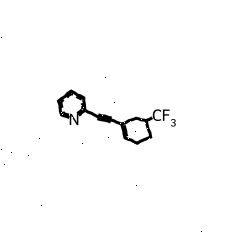 FC(F)(F)C1CCC=C(C#Cc2ccccn2)C1